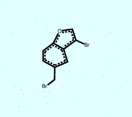 BrCc1ccc2occ(Br)c2c1